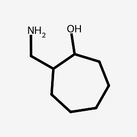 NCC1CCCCCC1O